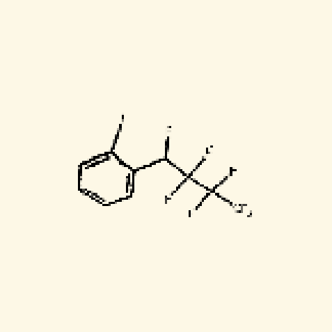 FC(c1ccccc1I)C(F)(F)C(F)(F)C(F)(F)F